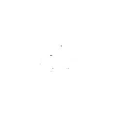 [C]1=Cc2ccccc2OC=C1